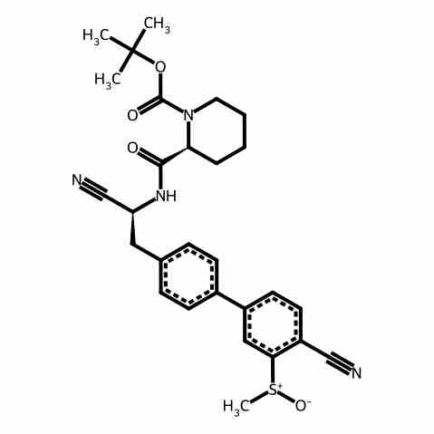 C[S+]([O-])c1cc(-c2ccc(C[C@@H](C#N)NC(=O)[C@@H]3CCCCN3C(=O)OC(C)(C)C)cc2)ccc1C#N